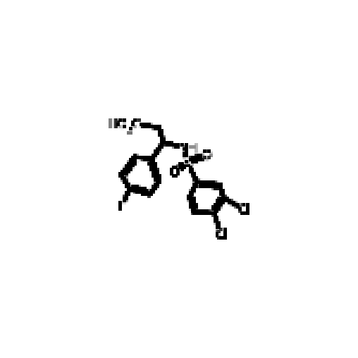 O=C(O)CC(NS(=O)(=O)c1ccc(Cl)c(Cl)c1)c1ccc(F)cc1